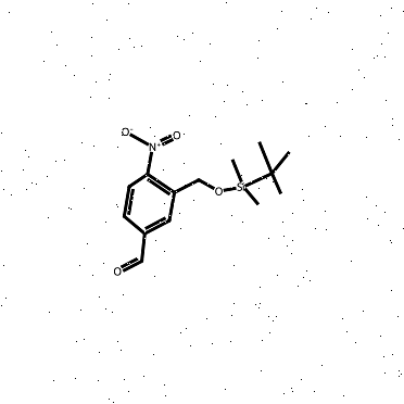 CC(C)(C)[Si](C)(C)OCc1cc(C=O)ccc1[N+](=O)[O-]